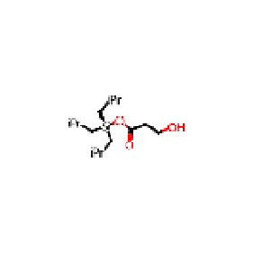 CC(C)C[Si](CC(C)C)(CC(C)C)OC(=O)CCO